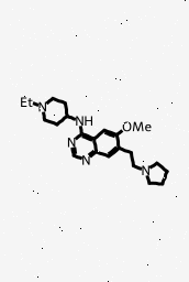 CCN1CCC(Nc2ncnc3cc(CCN4CCCC4)c(OC)cc23)CC1